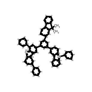 CC1(C)c2ccccc2-c2ccc(-c3cc(-c4cc(-c5ccccc5)c5oc6ccc(-c7ccccc7)cc6c5c4)cc(-c4ccc5c(c4)c4ccccc4n5-c4ccccc4)c3)cc21